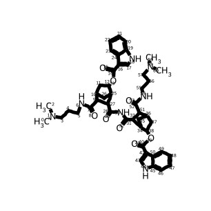 CN(C)CCCNC(=O)C1C2CC(OC(=O)c3c[nH]c4ccccc34)C(C2)C1C(=O)NC(=O)C1C2CC(CC2OC(=O)c2c[nH]c3ccccc23)C1C(=O)NCCCN(C)C